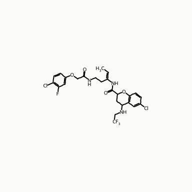 C/C=C(\CCNC(=O)COc1ccc(Cl)c(F)c1)NC(=O)C1CC(NCC(F)(F)F)c2cc(Cl)ccc2O1